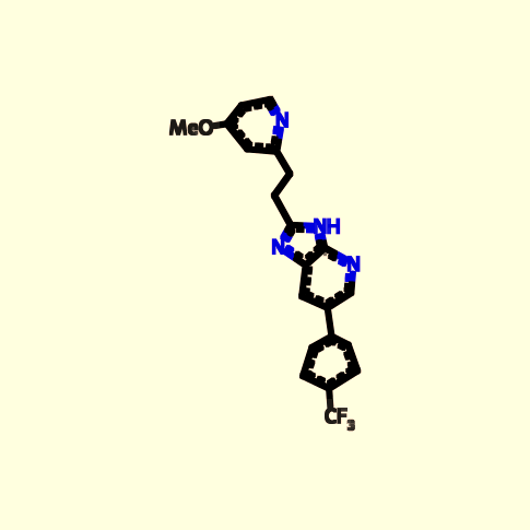 COc1ccnc(CCc2nc3cc(-c4ccc(C(F)(F)F)cc4)cnc3[nH]2)c1